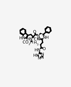 C[C@](Cc1c[nH]c2ccccc12)(NC(=O)O)C(=O)NC[C@H](NC(=O)CCC(=O)Nc1nnn[nH]1)c1ccccc1